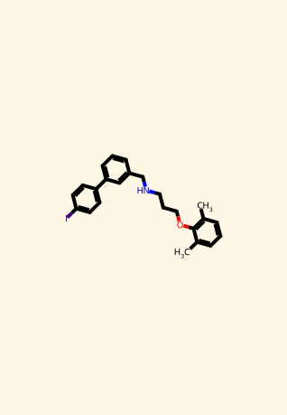 Cc1cccc(C)c1OCCCNCc1cccc(-c2ccc(I)cc2)c1